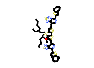 CCCCC(CC)CCS1(CC(CC)CCCC)c2cc(-c3cnc(-c4cc5ccccc5s4)c4nsnc34)sc2-c2sc(-c3cnc(-c4cc5ccccc5s4)c4nsnc34)cc21